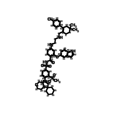 CC1(C)CCC(CNCCNc2ccc(C(=O)NS(=O)(=O)c3ccc(NCC4(N5CCOCC5)CCCCC4)c([N+](C)([O-])O)c3)c(Oc3ccc4[nH]ccc4c3)c2)=C(c2ccc(Cl)cc2)C1